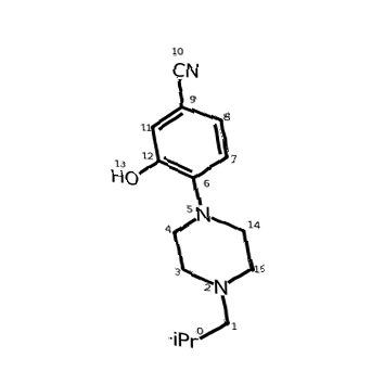 C[C](C)CN1CCN(c2ccc(C#N)cc2O)CC1